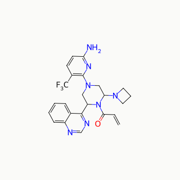 C=CC(=O)N1C(c2ncnc3ccccc23)CN(c2nc(N)ccc2C(F)(F)F)CC1N1CCC1